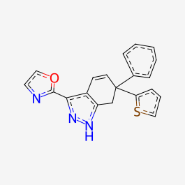 C1=CC(c2ccccc2)(c2cccs2)Cc2[nH]nc(-c3ncco3)c21